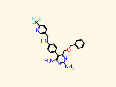 Nc1nc(N)c(-c2ccc(NCc3ccc(C(F)(F)F)nc3)cc2)c(COCc2ccccc2)n1